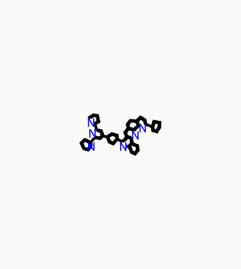 c1ccc(-c2ccc3ccc4cc5c(-c6ccc(-c7cc(-c8ccccn8)nc(-c8ccccn8)c7)cc6)nc6ccccc6c5nc4c3n2)cc1